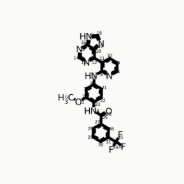 COc1cc(Nc2ncccc2-c2ncnc3[nH]cnc23)ccc1NC(=O)c1cccc(C(F)(F)F)c1